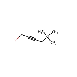 C[Si](C)(C)CC#CCBr